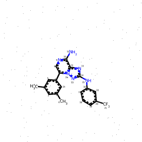 Cc1cc(C)cc(-c2cnc(N)c3nc(Nc4cccc(C(F)(F)F)c4)nn23)c1